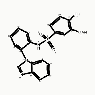 COc1cc(S(=O)(=O)Nc2ccccc2-n2cnc3ccccc32)ccc1O